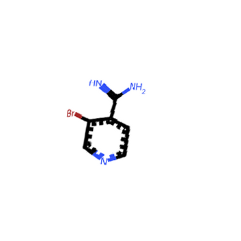 N=C(N)c1ccncc1Br